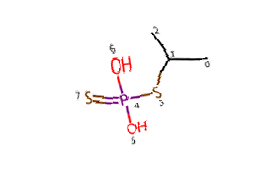 CC(C)SP(O)(O)=S